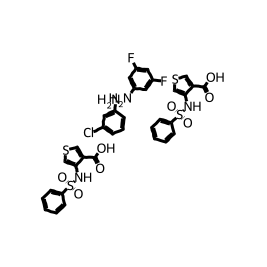 Nc1cc(F)cc(F)c1.Nc1cccc(Cl)c1.O=C(O)c1cscc1NS(=O)(=O)c1ccccc1.O=C(O)c1cscc1NS(=O)(=O)c1ccccc1